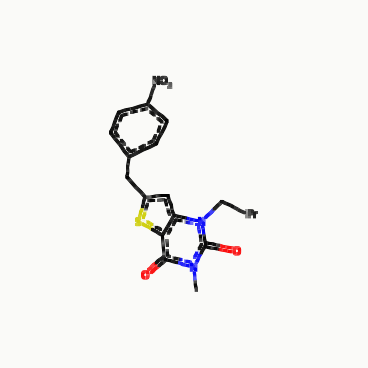 CC(C)Cn1c(=O)n(C)c(=O)c2sc(Cc3ccc([N+](=O)[O-])cc3)cc21